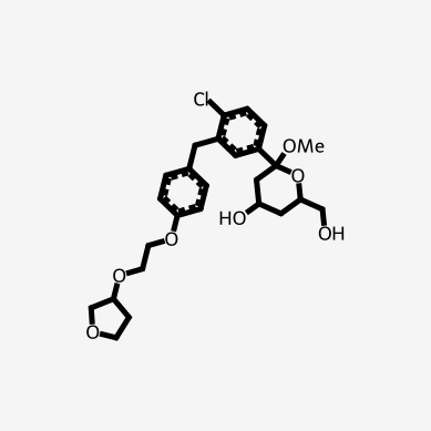 COC1(c2ccc(Cl)c(Cc3ccc(OCCOC4CCOC4)cc3)c2)CC(O)CC(CO)O1